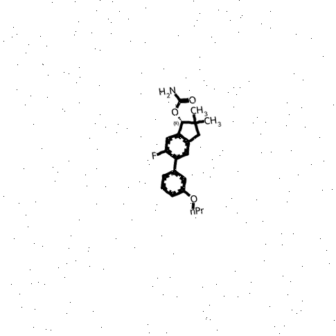 CCCOc1cccc(-c2cc3c(cc2F)[C@H](OC(N)=O)C(C)(C)C3)c1